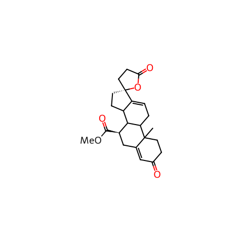 COC(=O)[C@@H]1CC2=CC(=O)CCC2(C)C2CC=C3C(CC[C@@]34CCC(=O)O4)C21